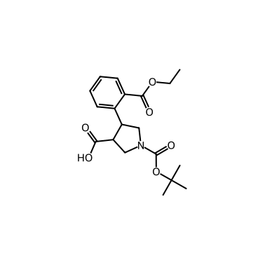 CCOC(=O)c1ccccc1C1CN(C(=O)OC(C)(C)C)CC1C(=O)O